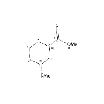 CN[C@@H]1CCC[C@H](C(=O)OC)C1